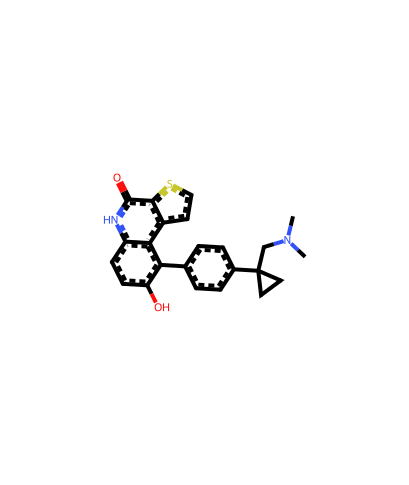 CN(C)CC1(c2ccc(-c3c(O)ccc4[nH]c(=O)c5sccc5c34)cc2)CC1